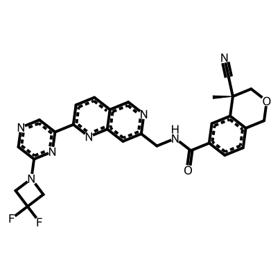 C[C@@]1(C#N)COCc2ccc(C(=O)NCc3cc4nc(-c5cncc(N6CC(F)(F)C6)n5)ccc4cn3)cc21